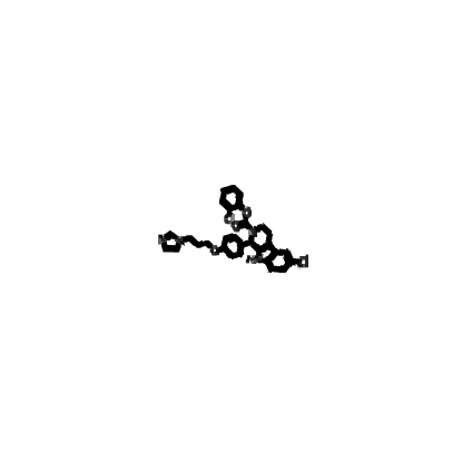 O=C(Oc1ccccc1Cl)N1CCc2c([nH]c3ccc(Cl)cc23)C1c1ccc(OCCCn2ccnc2)cc1